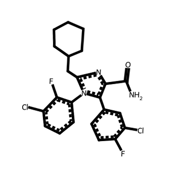 NC(=O)c1nc(CC2CCCCC2)n(-c2cccc(Cl)c2F)c1-c1ccc(F)c(Cl)c1